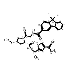 C[C@@H](NC(=O)[C@@H]1C[C@H](CO)CN1C(=O)CNC(=O)c1ccc2c(c1)-c1ccccc1C2(F)F)c1cc(C(=N)N)cs1